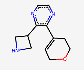 C1=C(c2nccnc2C2CNC2)CCOC1